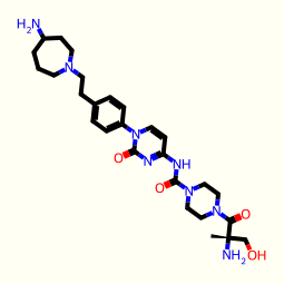 C[C@](N)(CO)C(=O)N1CCN(C(=O)Nc2ccn(-c3ccc(CCN4CCCC(N)CC4)cc3)c(=O)n2)CC1